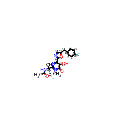 CC(=O)NC(C)(C)c1nc(-c2ncc(Cc3ccc(F)cc3)o2)c(O)c(=O)n1C